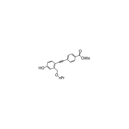 CCCOCc1cc(O)ccc1C#Cc1ccc(C(=O)OC)cc1